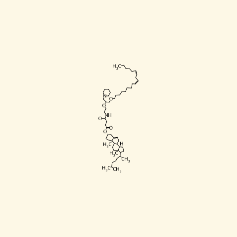 CCCCC/C=C\C/C=C\CCCCCCCCOCC(CN1CCCCC1)OCCNC(=O)CCC(=O)O[C@H]1CC[C@@]2(C)C(=CC[C@H]3C4CCC(C(C)CCCC(C)C)[C@@]4(C)CCC32)C1